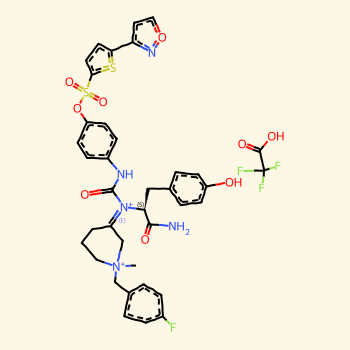 C[N+]1(Cc2ccc(F)cc2)CCC/C(=[N+](\C(=O)Nc2ccc(OS(=O)(=O)c3ccc(-c4ccon4)s3)cc2)[C@@H](Cc2ccc(O)cc2)C(N)=O)C1.O=C(O)C(F)(F)F